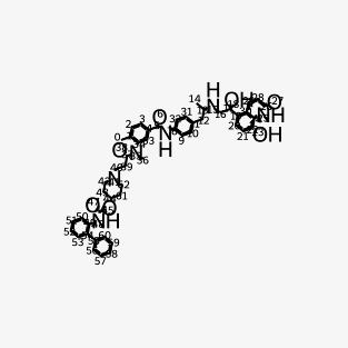 Cc1ccc(C(=O)Nc2ccc(CC(C)NCC(O)c3ccc(O)c4[nH]c(=O)ccc34)cc2)cc1N(C)C(=O)CCN1CCC(OC(=O)Nc2ccccc2-c2ccccc2)CC1